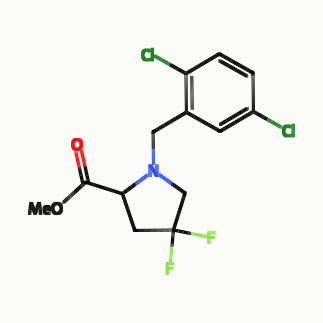 COC(=O)C1CC(F)(F)CN1Cc1cc(Cl)ccc1Cl